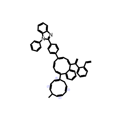 C=Cc1ccccc1C(=C)c1ccc(-c2ccc(-c3nc4ccccc4n3-c3ccccc3)cc2)cccc(/C2=C/C=C\C(C)/C=C\C=C/C2)c2ccccc12